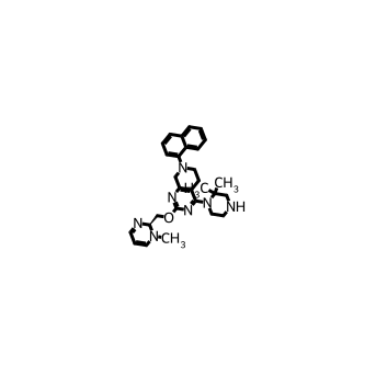 CN1C=CC=N[C@H]1COc1nc2c(c(N3CCNCC3(C)C)n1)CCN(c1cccc3ccccc13)C2